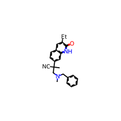 CCc1cc2ccc(C(C)(C#N)CN(C)Cc3ccccc3)cc2[nH]c1=O